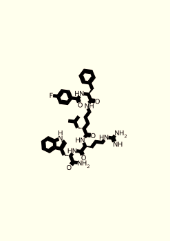 CC(C)C[C@H](CCCNC(=O)[C@H](Cc1ccccc1)NC(=O)c1ccc(F)cc1)C(=O)N[C@@H](CCCNC(=N)N)C(=O)N[C@@H](Cc1c[nH]c2ccccc12)C(N)=O